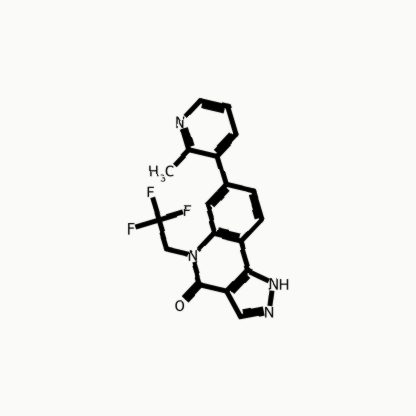 Cc1ncccc1-c1ccc2c3[nH]ncc3c(=O)n(CC(F)(F)F)c2c1